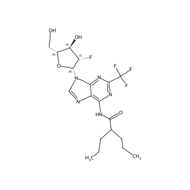 CCCC(CCC)C(=O)Nc1nc(C(F)(F)F)nc2c1ncn2[C@@H]1O[C@H](CO)[C@@H](O)[C@@H]1F